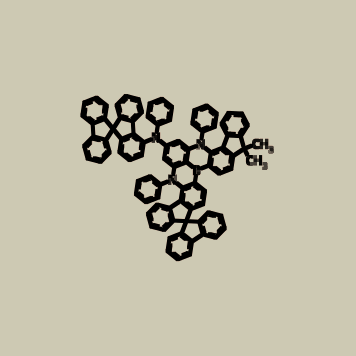 CC1(C)c2ccccc2-c2c1ccc1c2N(c2ccccc2)c2cc(N(c3ccccc3)c3cccc4c3-c3ccccc3C43c4ccccc4-c4ccccc43)cc3c2B1c1ccc2c(c1N3c1ccccc1)-c1ccccc1C21c2ccccc2-c2ccccc21